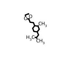 CC(C)CC1CCC(CCC2OCCO2)C(C)C1